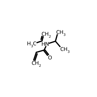 C=CC.C=CC(=O)NC(C)C